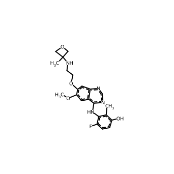 COc1cc2c(Nc3c(F)ccc(O)c3C)ncnc2cc1OCCNC1(C)COC1